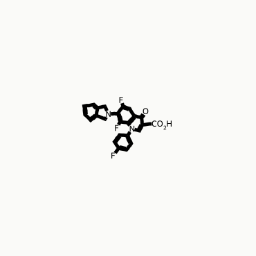 O=C(O)c1cn(-c2ccc(F)cc2)c2c(F)c(N3Cc4ccccc4C3)c(F)cc2c1=O